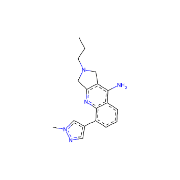 CCCN1Cc2nc3c(-c4cnn(C)c4)cccc3c(N)c2C1